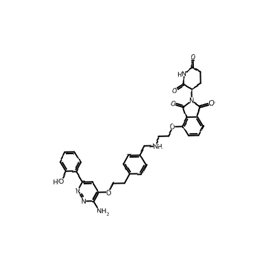 Nc1nnc(-c2ccccc2O)cc1OCCc1ccc(CNCCOc2cccc3c2C(=O)N(C2CCC(=O)NC2=O)C3=O)cc1